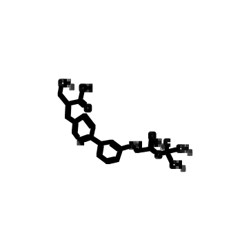 CCC(=Cc1ccc(-c2cccc(NCC(=O)OC(C)(C)C)c2)nc1)C(=O)O